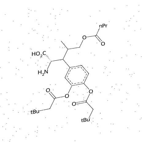 CCCC(=O)OCC(C)C(c1ccc(OC(=O)CC(C)(C)C)c(OC(=O)CC(C)(C)C)c1)[C@H](N)C(=O)O